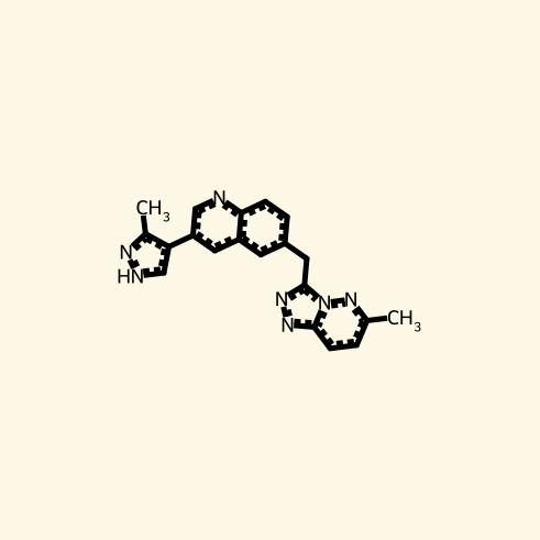 Cc1ccc2nnc(Cc3ccc4ncc(-c5c[nH]nc5C)cc4c3)n2n1